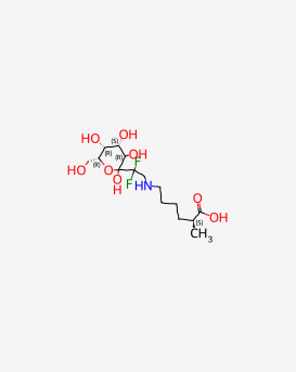 C[C@@H](CCCCNCC(F)(F)C1(O)O[C@H](CO)[C@H](O)[C@H](O)[C@H]1O)C(=O)O